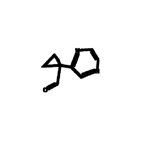 O=CC1(c2cnccn2)CC1